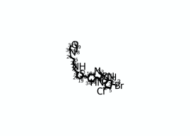 Cc1cc(Br)cc(Cl)c1Nc1c(C#N)cnc2cc(-c3ccc(CNCCCN4CCOCC4)s3)ccc12